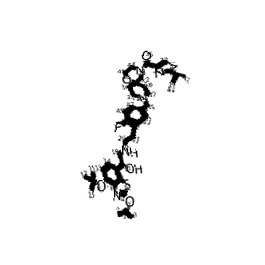 CC(C)Oc1nc2c(OC(C)(C)C)ccc([C@H](O)CNCCc3cc(CN4CCC5(CC4)CN(C(=O)c4csc(C(C)C)n4)CCO5)ccc3F)c2s1